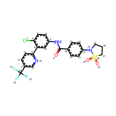 O=C(Nc1ccc(Cl)c(-c2ccc(C(F)(F)F)cn2)c1)c1ccc(N2CCCS2(=O)=O)cc1